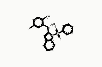 N[C@@H](c1cc(F)ccc1O)c1cc2ccccc2n1S(=O)(=O)c1ccccc1